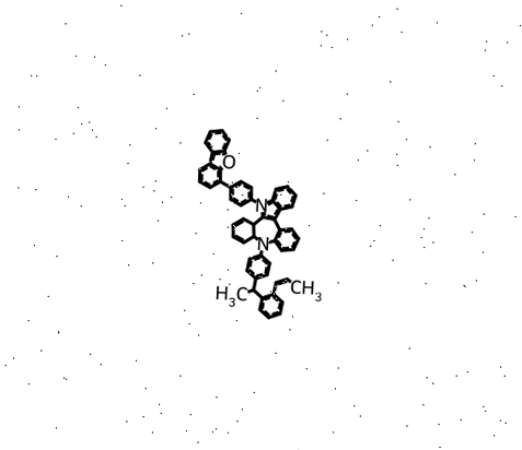 C/C=C\c1ccccc1C(C)c1ccc(N2c3ccccc3-c3c(n(-c4ccc(-c5cccc6c5oc5ccccc56)cc4)c4ccccc34)C3C=CC=CC32)cc1